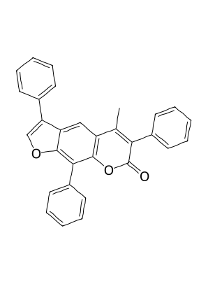 Cc1c(-c2ccccc2)c(=O)oc2c(-c3ccccc3)c3occ(-c4ccccc4)c3cc12